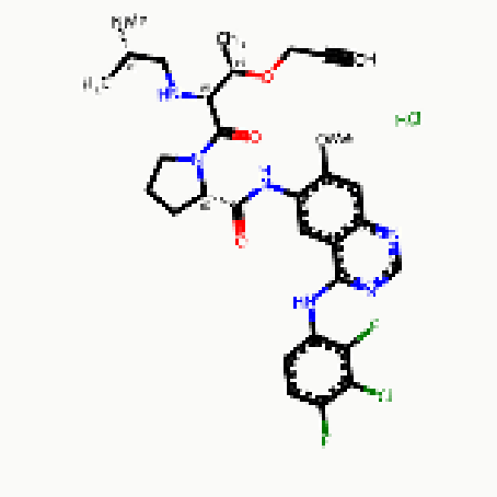 C#CCO[C@H](C)[C@H](NC[C@H](C)NC)C(=O)N1CCC[C@H]1C(=O)Nc1cc2c(Nc3ccc(F)c(Cl)c3F)ncnc2cc1OC.Cl